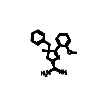 COc1ccccc1C1=NN(C(=N)N)CC1(C)Cc1ccccc1